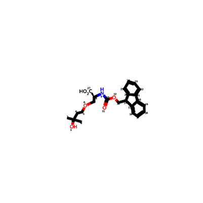 CC(C)(O)CCOC[C@H](NC(=O)OCC1c2ccccc2-c2ccccc21)C(=O)O